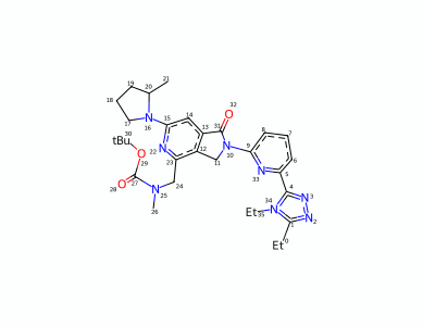 CCc1nnc(-c2cccc(N3Cc4c(cc(N5CCCC5C)nc4CN(C)C(=O)OC(C)(C)C)C3=O)n2)n1CC